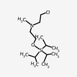 CC(C)[Si](OCCN(C)CCCl)(C(C)C)C(C)C